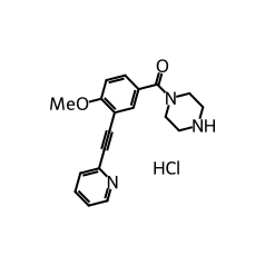 COc1ccc(C(=O)N2CCNCC2)cc1C#Cc1ccccn1.Cl